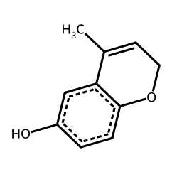 CC1=CCOc2ccc(O)cc21